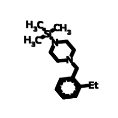 CCc1ccccc1CN1CCN([Si](C)(C)C)CC1